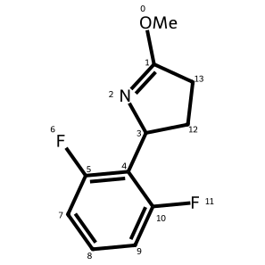 COC1=NC(c2c(F)cccc2F)CC1